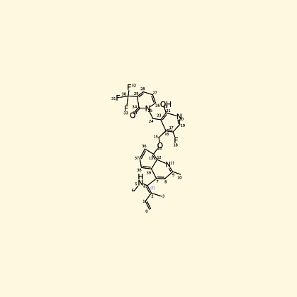 C=C/C(C)=C(\NC)c1cc(C)nc2c(OCc3c(F)cnc(O)c3Cn3cccc(C(F)(F)F)c3=O)cccc12